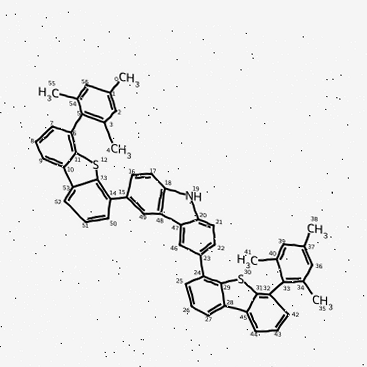 Cc1cc(C)c(-c2cccc3c2sc2c(-c4ccc5[nH]c6ccc(-c7cccc8c7sc7c(-c9c(C)cc(C)cc9C)cccc78)cc6c5c4)cccc23)c(C)c1